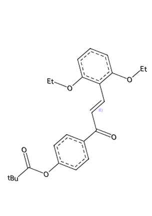 CCOc1cccc(OCC)c1/C=C/C(=O)c1ccc(OC(=O)C(C)(C)C)cc1